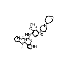 COc1cc(P2(=O)CCN(C3CCCOCC3)CC2)ccc1NC1=Nc2[nH]ccc2C(NC2CCCC2)N1C